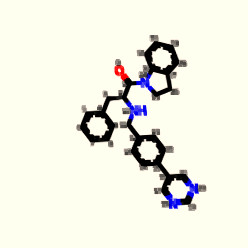 O=C([C@H](Cc1ccccc1)NCc1ccc(-c2cncnc2)cc1)N1CCc2ccccc21